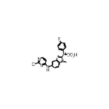 Cn1c(N(C(=O)O)c2ccc(F)cc2)nc2cc(Nc3ccnc(Cl)n3)ccc21